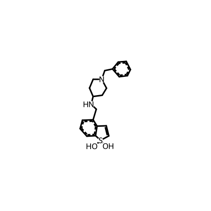 OS1(O)C=Cc2c(CNC3CCN(Cc4ccccc4)CC3)cccc21